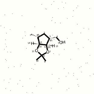 C[C@@H]1C[C@H](CO)[C@H]2OC(C)(C)O[C@H]21